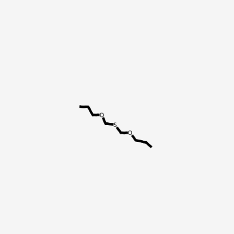 CCCOCSCOCCC